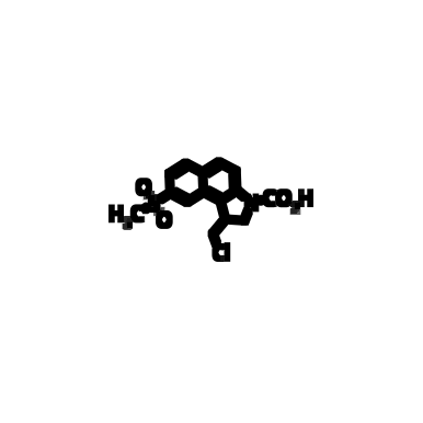 CS(=O)(=O)c1ccc2ccc3c(c2c1)C(CCl)CN3C(=O)O